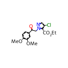 CCOC(=O)c1c(Cl)cnn1CC(=O)c1ccc(OC)c(OC)c1